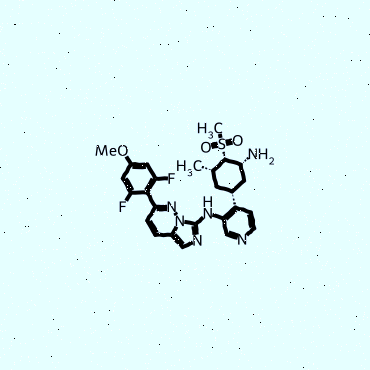 COc1cc(F)c(-c2ccc3cnc(Nc4cnccc4[C@H]4C[C@@H](N)[C@@H](S(C)(=O)=O)[C@@H](C)C4)n3n2)c(F)c1